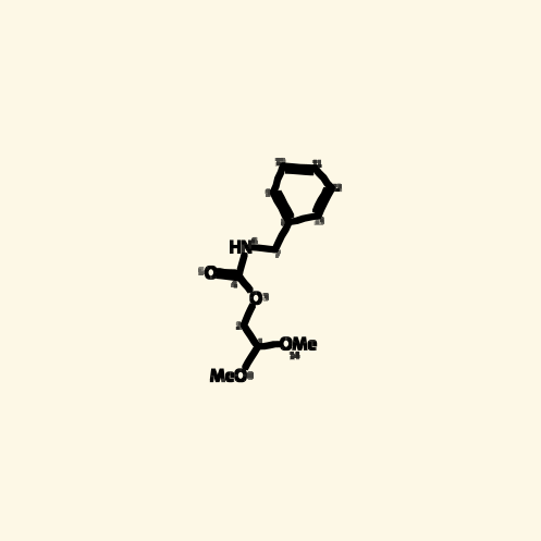 COC(COC(=O)NCc1ccccc1)OC